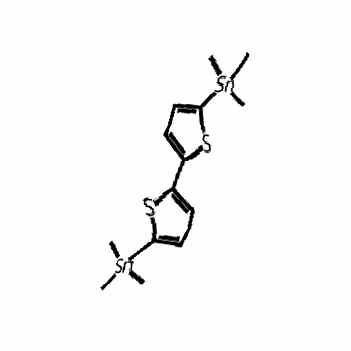 [CH3][Sn]([CH3])([CH3])[c]1ccc(-c2cc[c]([Sn]([CH3])([CH3])[CH3])s2)s1